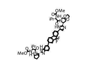 COC(=O)N[C@H](C(=O)N1CC2(C[C@H]1c1ncc(-c3ccc4c(c3)C(F)(F)c3cc(-c5ccc6nc([C@@H]7C8CC[C@H](C8)N7C(=O)[C@@H](NC(=O)OC)C(C)C)[nH]c6c5)ccc3-4)[nH]1)OCCO2)C(C)C